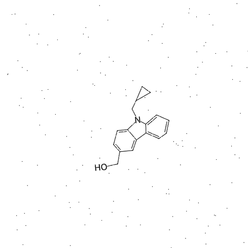 OCc1ccc2c(c1)c1ccccc1n2CC1CC1